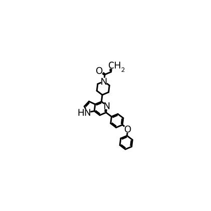 C=CC(=O)N1CCC(c2nc(-c3ccc(Oc4ccccc4)cc3)cc3[nH]ccc23)CC1